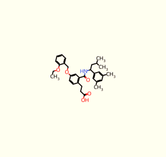 CCOc1ccccc1COc1ccc(CCC(=O)O)c(C(=O)NC(CC(C)C)c2cc(C)cc(C)c2)c1